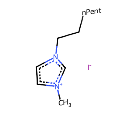 CCCCCCCn1cc[n+](C)c1.[I-]